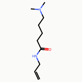 C=CCNC(=O)CCCCN(C)C